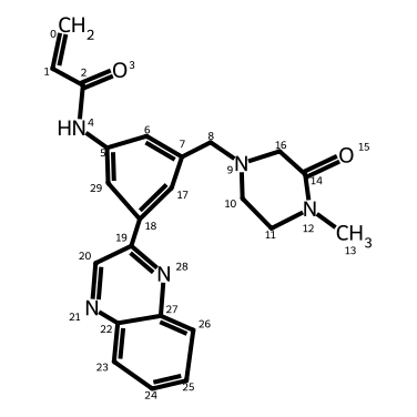 C=CC(=O)Nc1cc(CN2CCN(C)C(=O)C2)cc(-c2cnc3ccccc3n2)c1